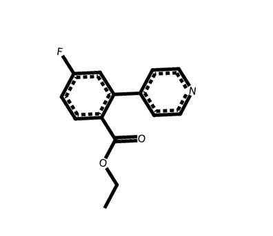 CCOC(=O)c1ccc(F)cc1-c1ccncc1